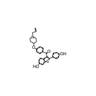 C=CCN1CCC(Oc2ccc(C(=O)c3c(-c4ccc(O)cc4)sc4cc(O)ccc34)cc2)CC1